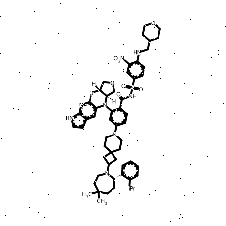 CC(C)c1ccccc1[C@@H]1CCC(C)(C)CCN1C1CC2(CCN(c3ccc(C(=O)NS(=O)(=O)c4ccc(NCC5CCOCC5)c([N+](=O)[O-])c4)c(N4c5cc6cc[nH]c6nc5O[C@@H]5COC[C@H]54)c3)CC2)C1